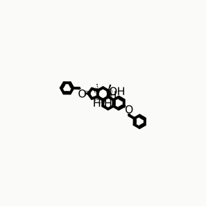 C[C@@]12C[C@H](OCc3ccccc3)C[C@H]1[C@@H]1CCc3cc(OCc4ccccc4)ccc3[C@H]1[C@@](C)(O)C2